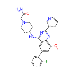 COc1cc(-c2ccccc2F)cc2c(NC3CCN(CC(N)=O)CC3)nc(-c3cccnc3)nc12